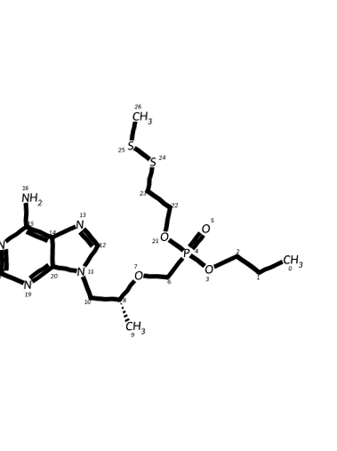 CCCOP(=O)(CO[C@H](C)Cn1cnc2c(N)ncnc21)OCCSSC